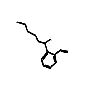 C=Cc1ccccc1C(I)CCCCC